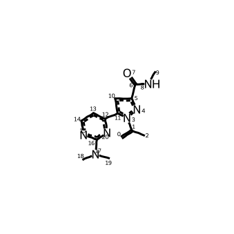 C=C(C)n1nc(C(=O)NC)cc1-c1ccnc(N(C)C)n1